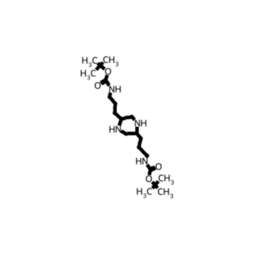 CC(C)(C)OC(=O)NCCCC1CNC(CCCNC(=O)OC(C)(C)C)CN1